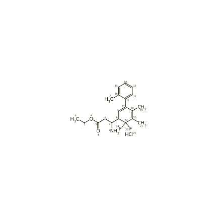 CCOC(=O)CC(N)C1C=C(c2ccccc2C)C(C)=C(C)C1(F)F.Cl